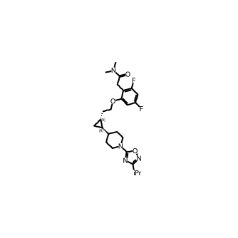 CC(C)c1noc(N2CCC([C@H]3C[C@@H]3CCOc3cc(F)cc(F)c3CC(=O)N(C)C)CC2)n1